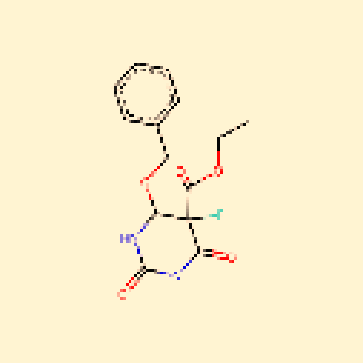 CCOC(=O)C1(F)C(=O)NC(=O)NC1OCc1ccccc1